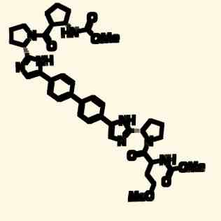 COCCC(NC(=O)OC)C(=O)N1CCC[C@H]1c1ncc(-c2ccc(-c3ccc(-c4cnc([C@@H]5CCCN5C(=O)[C@H]5CCC[C@@H]5NC(=O)OC)[nH]4)cc3)cc2)[nH]1